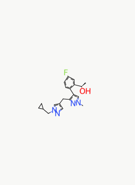 C[C@@H](O)c1cc(F)ccc1-c1cn(C)nc1Cc1cnn(CC2CC2)c1